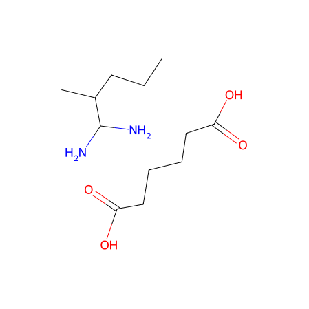 CCCC(C)C(N)N.O=C(O)CCCCC(=O)O